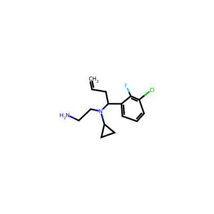 C=CCC(c1cccc(Cl)c1F)N(CCN)C1CC1